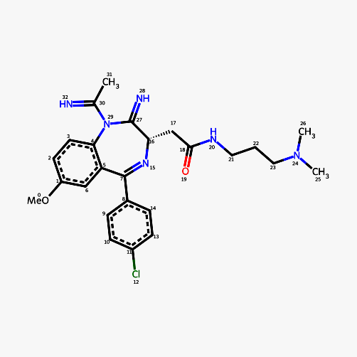 COc1ccc2c(c1)C(c1ccc(Cl)cc1)=N[C@@H](CC(=O)NCCCN(C)C)C(=N)N2C(C)=N